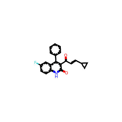 O=C(/C=C/C1CC1)c1c(-c2ccccc2)c2cc(F)ccc2[nH]c1=O